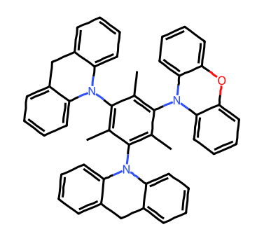 Cc1c(N2c3ccccc3Cc3ccccc32)c(C)c(N2c3ccccc3Oc3ccccc32)c(C)c1N1c2ccccc2Cc2ccccc21